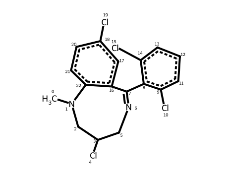 CN1CC(Cl)CN=C(c2c(Cl)cccc2Cl)c2cc(Cl)ccc21